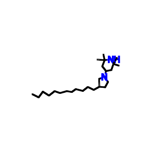 CCCCCCCCCCCCC1CCN(C2CC(C)(C)NC(C)(C)C2)C1